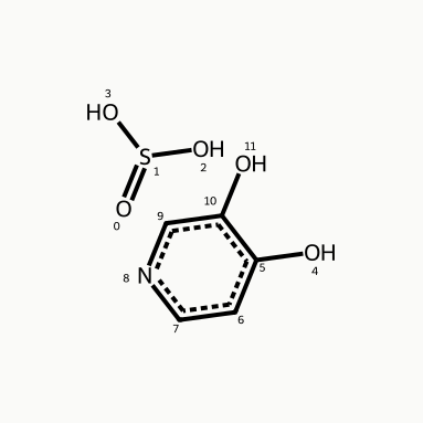 O=S(O)O.Oc1ccncc1O